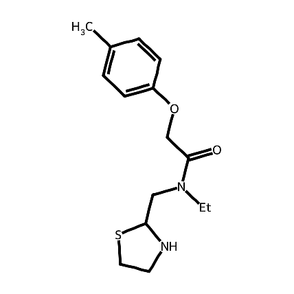 CCN(CC1NCCS1)C(=O)COc1ccc(C)cc1